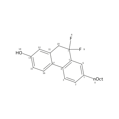 CCCCCCCCc1ccc2c(c1)C(F)(F)Cc1cc(O)ccc1-2